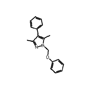 Cc1nn(COc2ccccc2)c(C)c1-c1ccccc1